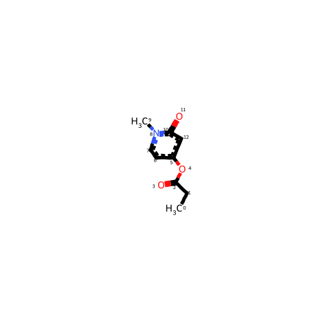 CCC(=O)Oc1ccn(C)c(=O)c1